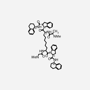 CNCC(=O)NC(CCCCCC[C@H](NC(=O)[C@H](C)NC)C(=O)N1c2ccccc2C[C@H]1C(=O)N[C@@H]1CCCc2ccccc21)C(=O)N1c2ccccc2C[C@H]1C(=O)N[C@@H]1CCCc2ccccc21